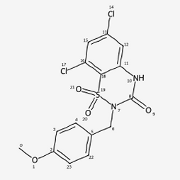 COc1ccc(CN2C(=O)Nc3cc(Cl)cc(Cl)c3S2(=O)=O)cc1